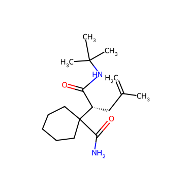 C=C(C)C[C@@H](C(=O)NC(C)(C)C)C1(C(N)=O)CCCCC1